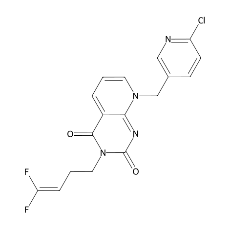 O=c1nc2n(Cc3ccc(Cl)nc3)cccc-2c(=O)n1CCC=C(F)F